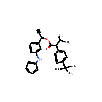 C#CC(OC(=O)C(c1ccc(C(C)(C)C)cc1)C(C)C)c1cccc(Nc2ccccc2)c1